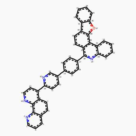 c1cnc2c(c1)ccc1c(-c3ccc(-c4ccc(-c5nc6ccccc6c6c5ccc5c7ccccc7oc56)cc4)cn3)ccnc12